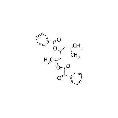 CC(C)CC(CC(C)OC(=O)C(=O)c1ccccc1)OC(=O)c1ccccc1